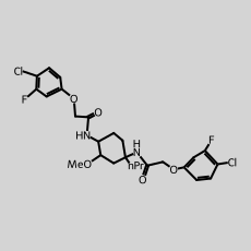 CCCC1(NC(=O)COc2ccc(Cl)c(F)c2)CCC(NC(=O)COc2ccc(Cl)c(F)c2)C(OC)C1